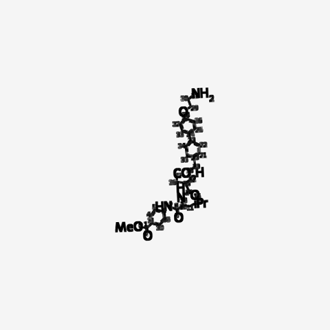 COC(=O)c1ccc(NC(=O)C(CC(C)C)NC(=O)C(CCCc2ccc(-c3ccc(OCCN)cc3)cc2)CC(=O)O)cc1